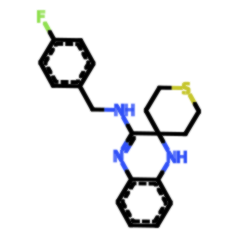 Fc1ccc(CNC2=Nc3ccccc3NC23CCSCC3)cc1